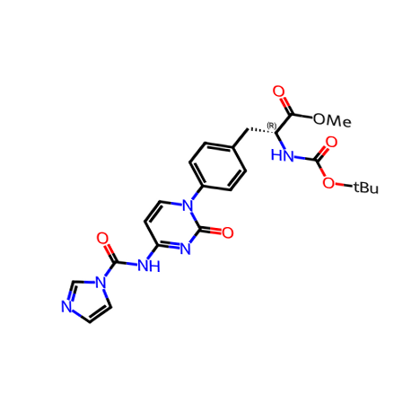 COC(=O)[C@@H](Cc1ccc(-n2ccc(NC(=O)n3ccnc3)nc2=O)cc1)NC(=O)OC(C)(C)C